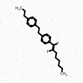 CCCCCCC(F)=C(F)c1ccc(CCc2ccc(CCC)cc2)cc1